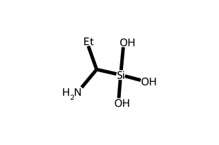 [CH2]CC(N)[Si](O)(O)O